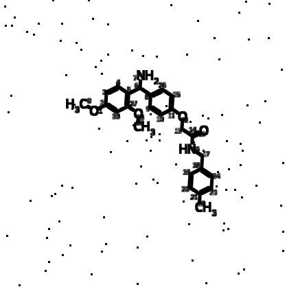 COc1ccc(C(N)c2ccc(OCC(=O)NCc3ccc(C)cc3)cc2)c(OC)c1